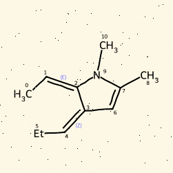 C/C=c1\c(=C/CC)cc(C)n1C